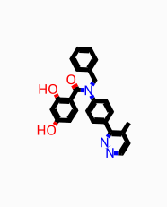 Cc1ccnnc1-c1ccc(N(Cc2ccccc2)C(=O)c2ccc(O)cc2O)cc1